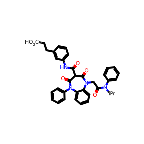 CC(C)N(C(=O)CN1C(=O)C(C(=O)Nc2cccc(CCC(=O)O)c2)C(=O)N(c2ccccc2)c2ccccc21)c1ccccc1